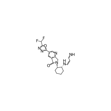 N=C/C=C\N[C@@H]1CCCC[C@H]1N1Cc2ncc(-c3nnc(C(F)F)o3)cc2C1=O